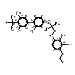 CCCc1ccc(OCC(F)(F)Oc2ccc(-c3cc(F)c(C(F)(F)F)c(F)c3)c(F)c2)c(F)c1F